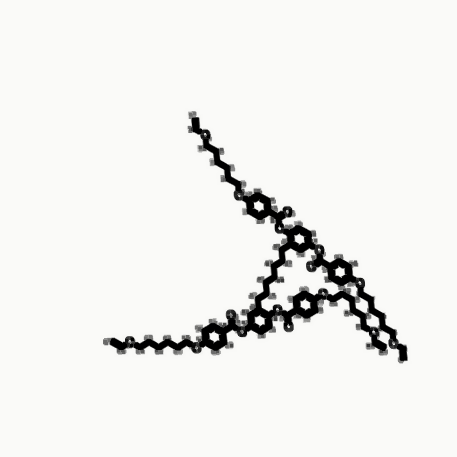 C=COCCCCCCOc1ccc(C(=O)Oc2ccc(OC(=O)c3ccc(OCCCCCCOC=C)cc3)c(CCCCCCCc3cc(OC(=O)c4ccc(OCCCCCCOC=C)cc4)ccc3OC(=O)c3ccc(OCCCCCCOC=C)cc3)c2)cc1